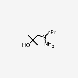 CCCN(N)CC(C)(C)O